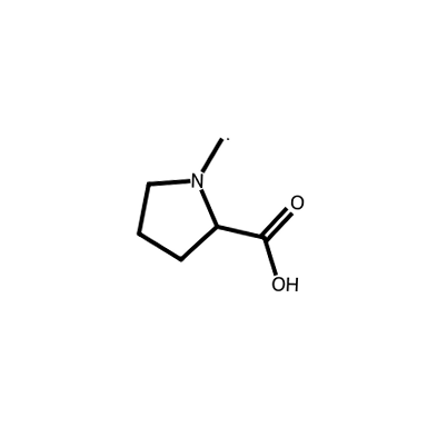 [CH2]N1CCCC1C(=O)O